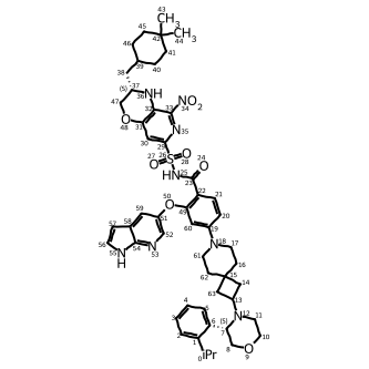 CC(C)c1ccccc1[C@H]1COCCN1C1CC2(CCN(c3ccc(C(=O)NS(=O)(=O)c4cc5c(c([N+](=O)[O-])n4)N[C@@H](CC4CCC(C)(C)CC4)CO5)c(Oc4cnc5[nH]ccc5c4)c3)CC2)C1